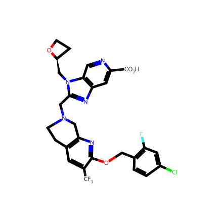 O=C(O)c1cc2nc(CN3CCc4cc(C(F)(F)F)c(OCc5ccc(Cl)cc5F)nc4C3)n(C[C@@H]3CCO3)c2cn1